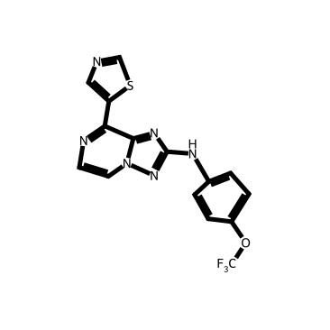 FC(F)(F)Oc1ccc(Nc2nc3c(-c4cncs4)nccn3n2)cc1